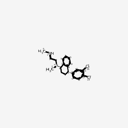 CNCCN(C)[C@H]1CC[C@@H](c2ccc(Cl)c(Cl)c2)c2ccccc21